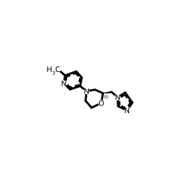 Cc1ccc(N2CCO[C@H](Cn3ccnc3)C2)cn1